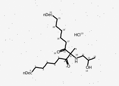 CCCCCCCCCCCCCCCC(=O)C(C)(NCC(C)O)C(=O)CCCCCCCCCCCCCCC.Cl